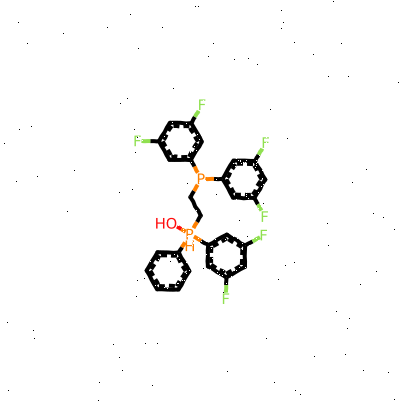 O[PH](CCP(c1cc(F)cc(F)c1)c1cc(F)cc(F)c1)(c1ccccc1)c1cc(F)cc(F)c1